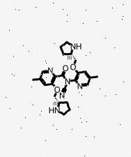 Cc1cnc(C(=O)N(C#N)c2ncc(C)cc2OC[C@@H]2CCCN2)c(OC[C@@H]2CCCN2)c1